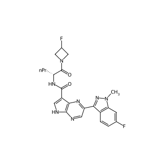 CCC[C@@H](NC(=O)c1c[nH]c2ncc(-c3nn(C)c4cc(F)ccc34)nc12)C(=O)N1CC(F)C1